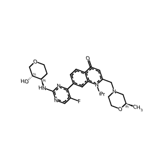 CC(C)n1c(CN2CCO[C@H](C)C2)cc(=O)c2ccc(-c3nc(N[C@@H]4CCOC[C@H]4O)ncc3F)cc21